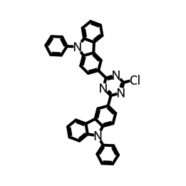 Clc1nc(-c2ccc3c(c2)c2ccccc2n3-c2ccccc2)nc(-c2ccc3c(c2)c2ccccc2n3-c2ccccc2)n1